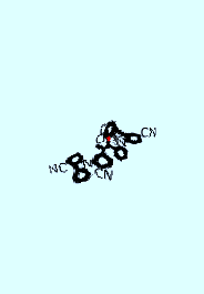 C=C/C=C(\C(=C/C)c1ccc(C#N)c(-n2c3ccccc3c3c(C#N)cccc32)c1)c1ccccc1-n1c2ccccc2c2cc(C#N)ccc21